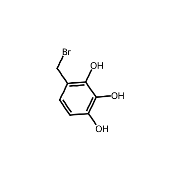 Oc1ccc(CBr)c(O)c1O